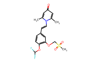 Cc1cc(=O)cc(C)n1C=Cc1ccc(OC(F)F)c(OCS(C)(=O)=O)c1